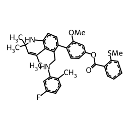 COc1cc(OC(=O)c2ccccc2SC)ccc1-c1ccc2c(c1CNc1cc(F)ccc1C)C(C)=CC(C)(C)N2